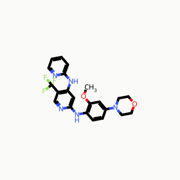 COc1cc(N2CCOCC2)ccc1Nc1cc(Nc2ccccn2)c(C(F)(F)F)cn1